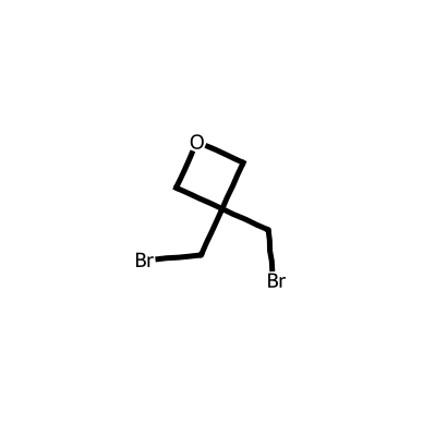 BrCC1(CBr)COC1